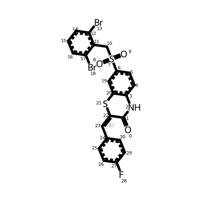 O=C1Nc2ccc(S(=O)(=O)Cc3c(Br)cccc3Br)cc2S/C1=C/c1ccc(F)cc1